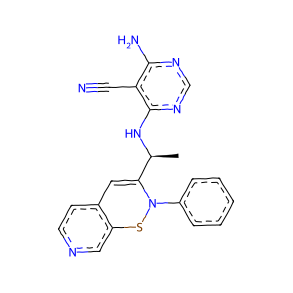 C[C@H](Nc1ncnc(N)c1C#N)C1=Cc2ccncc2SN1c1ccccc1